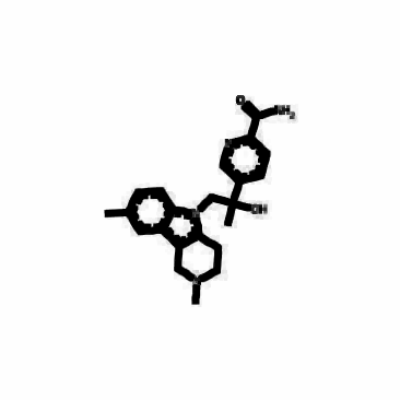 Cc1ccc2c(c1)c1c(n2CC(C)(O)c2ccc(C(N)=O)nc2)CCN(C)C1